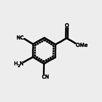 COC(=O)c1cc(C#N)c(N)c(C#N)c1